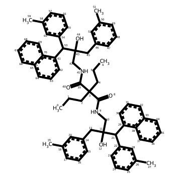 CCCC(CCC)(C(=O)NCC(O)(Cc1cccc(C)c1)C(c1cccc(C)c1)c1cccc2ccccc12)C(=O)NCC(O)(Cc1cccc(C)c1)C(c1cccc(C)c1)c1cccc2ccccc12